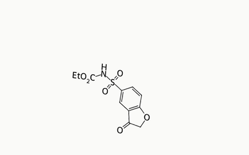 CCOC(=O)NS(=O)(=O)c1ccc2c(c1)C(=O)CO2